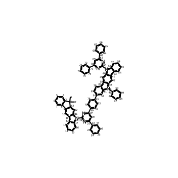 CC1(C)c2ccccc2-c2cc3c4ccccc4n(-c4nc(-c5ccccc5)cc(-c5ccc(-c6ccc7c8cc9c(cc8n(-c8ccccc8)c7c6)c6ccccc6n9-c6nc(-c7ccccc7)cc(-c7ccccc7)n6)cc5)n4)c3cc21